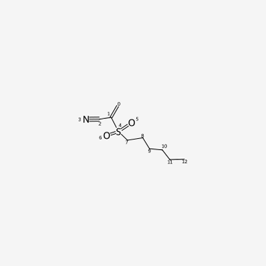 C=C(C#N)S(=O)(=O)CCCCCC